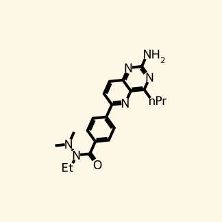 CCCc1nc(N)nc2ccc(-c3ccc(C(=O)N(CC)N(C)C)cc3)nc12